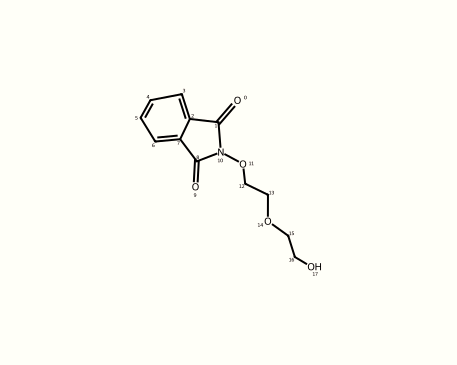 O=C1c2ccccc2C(=O)N1OCCOCCO